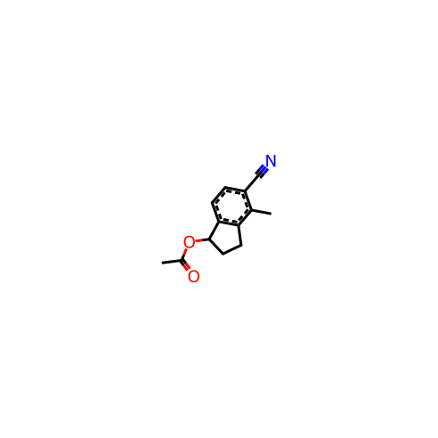 CC(=O)OC1CCc2c1ccc(C#N)c2C